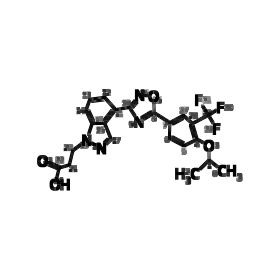 CC(C)Oc1ccc(-c2nc(-c3cccc4c3cnn4CCC(=O)O)no2)cc1C(F)(F)F